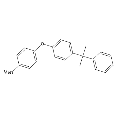 COc1ccc(Oc2ccc(C(C)(C)c3ccccc3)cc2)cc1